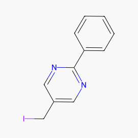 ICc1cnc(-c2ccccc2)nc1